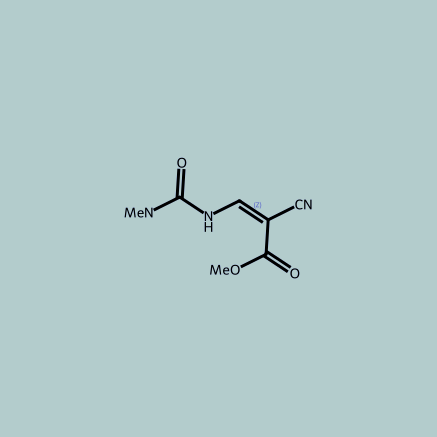 CNC(=O)N/C=C(/C#N)C(=O)OC